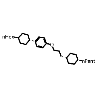 CCCCCC[C@H]1CC[C@H](c2ccc(OCCC[C@H]3CC[C@H](CCCCC)CC3)cc2)CC1